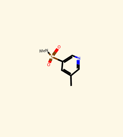 CNS(=O)(=O)c1cncc(C)c1